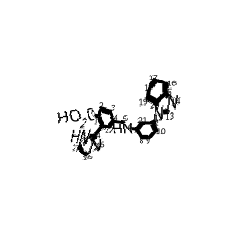 O=C(O)c1ccc(CNc2cccc(-n3cnc4ccccc43)c2)cc1-c1ncc[nH]1